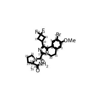 COc1cc2c(cc1Br)-c1c(C3CC(F)(F)C3)nc(C(=O)N3CCC[C@]3(C)C(N)=O)n1CC2